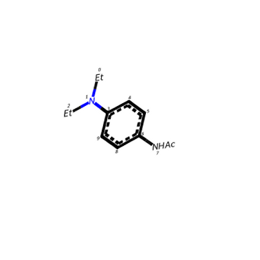 CCN(CC)c1ccc(NC(C)=O)cc1